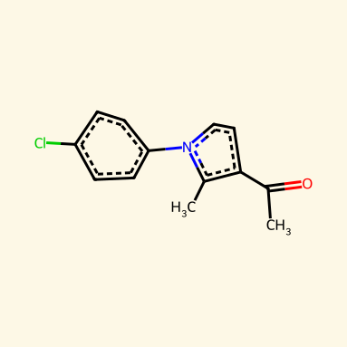 CC(=O)c1ccn(-c2ccc(Cl)cc2)c1C